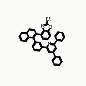 CCc1nc2c(-c3ccc4ccccc4c3-c3cccc(-c4cc(-c5ccccc5)cc(-c5ccccc5)n4)c3)cccc2o1